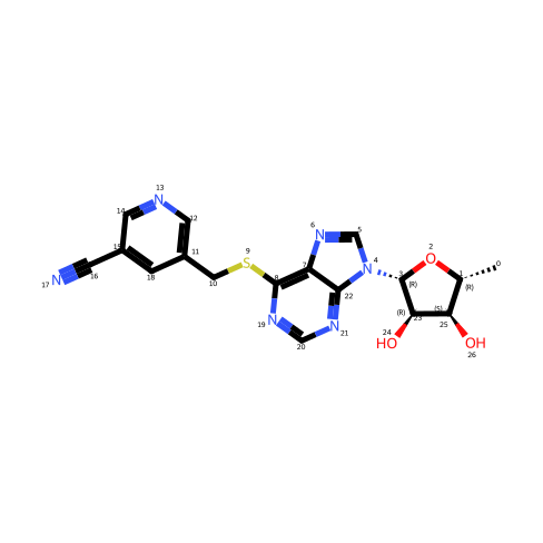 C[C@H]1O[C@@H](n2cnc3c(SCc4cncc(C#N)c4)ncnc32)[C@H](O)[C@@H]1O